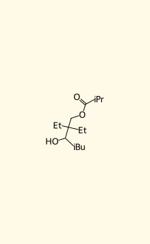 CCC(C)C(O)C(CC)(CC)COC(=O)C(C)C